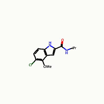 COc1c(Cl)ccc2[nH]c(C(=O)NC(C)C)cc12